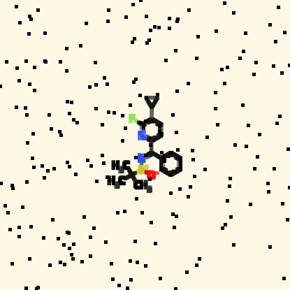 CC(C)(C)[S@+]([O-])/N=C(\c1ccccc1)c1ccc(C2CC2)c(F)n1